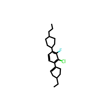 CCCC1CCC(c2ccc(C3=CCC(CC)CC3)c(Cl)c2F)CC1